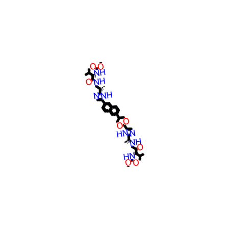 COC(=O)N[C@@H](C(=O)CN[C@@H](C)c1ncc(C2OCC(c3ccc4cc(-c5cnc([C@@H](C)CNC(=O)[C@H](NC(=O)OC)C(C)C)[nH]5)ccc4c3)CO2)[nH]1)C(C)C